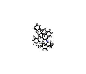 Cc1cccc(C)c1N1C(=C/C=c2/cnnc3c2=NC(=O)C=C3)N(c2c(C)cccc2C)c2nc3ccccc3nc21